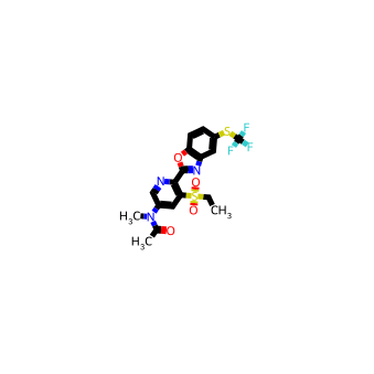 CCS(=O)(=O)c1cc(N(C)C(C)=O)cnc1-c1nc2cc(SC(F)(F)F)ccc2o1